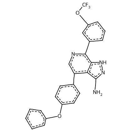 Nc1n[nH]c2c(-c3cccc(OC(F)(F)F)c3)ncc(-c3ccc(Oc4ccccc4)cc3)c12